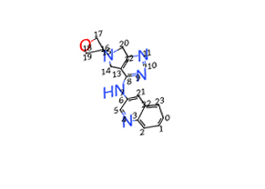 c1ccc2ncc(Nc3ncnc4c3CN(C3COC3)C4)cc2c1